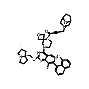 O=C(C#CCN1CC2CCC(C1)O2)N1CCN(c2nc(OC[C@@]34CCCN3C[C@H](F)C4)nc3c(F)c(-c4cccc5cccc(Cl)c45)ncc23)CC12COC2